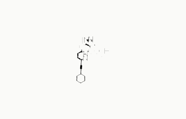 O=C(O)c1nn[nH]c1Oc1ccc(C#CC2CCCCC2)nn1